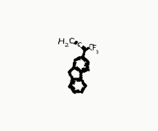 C=C=C(c1ccc2c(c1)Cc1ccccc1-2)C(F)(F)F